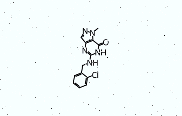 Cn1ncc2nc(NCc3ccccc3Cl)[nH]c(=O)c21